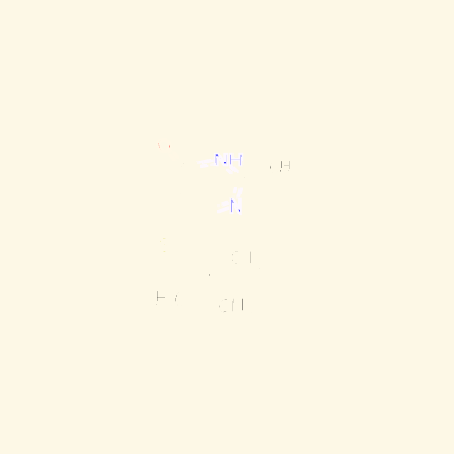 Cc1nc2c(C(C)(C)C)scc2c(=O)[nH]1